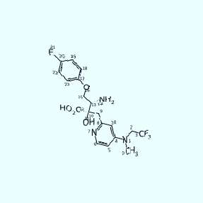 CN(CC(F)(F)F)c1ccnc(C[C@](O)(C(=O)O)[C@@H](N)COc2ccc(F)cc2)c1